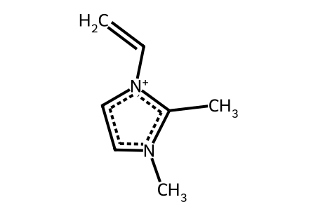 C=C[n+]1ccn(C)c1C